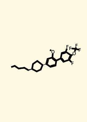 CCCCC[C@H]1CC[C@H](c2ccc(-c3cc(F)c(OC(F)(F)F)c(F)c3)c(OC)c2)CC1